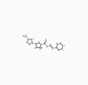 Cc1ccc(-c2cc(C(=O)C/N=C/c3ccccc3)[nH]n2)s1